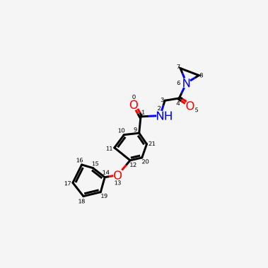 O=C(NCC(=O)N1CC1)c1ccc(Oc2ccccc2)cc1